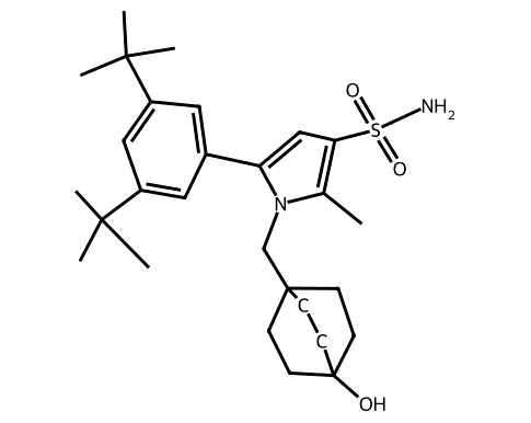 Cc1c(S(N)(=O)=O)cc(-c2cc(C(C)(C)C)cc(C(C)(C)C)c2)n1CC12CCC(O)(CC1)CC2